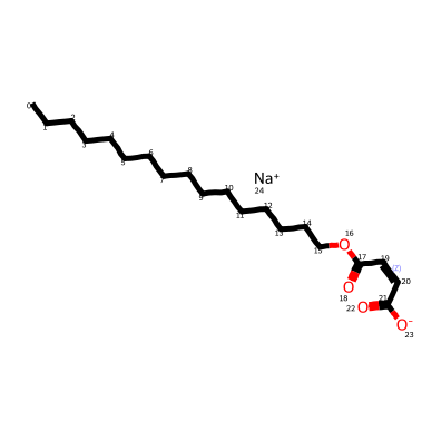 CCCCCCCCCCCCCCCCOC(=O)/C=C\C(=O)[O-].[Na+]